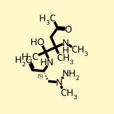 C=C[C@@H](CN(C)N)NC(C)(O)C(C)(CC(C)=O)NC